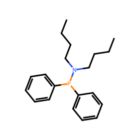 CCCCN(CCCC)P(c1ccccc1)c1ccccc1